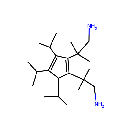 CC(C)C1=C(C(C)C)C(C(C)C)C(C(C)(C)CN)=C1C(C)(C)CN